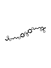 C=CC(=O)OCCCCCOc1ccc(OC(=O)c2ccc(OCCCCC3CC(=C)C(=O)O3)cc2)cc1